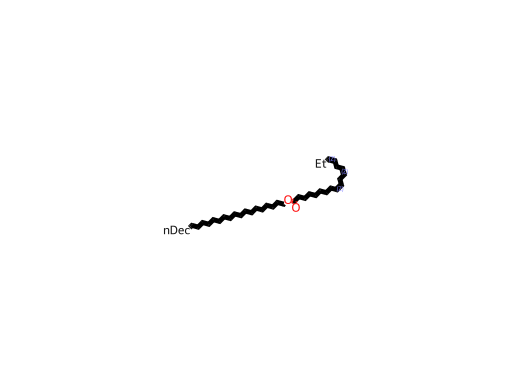 CC/C=C\C/C=C\C/C=C\CCCCCCCC(=O)OCCCCCCCCCCCCCCCCCCCCCCCCCCCC